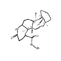 CCCCNC(=O)C1CC(=O)NC2CC[C@H]3[C@@H]4CCC[C@@]4(C)CC[C@@H]3[C@]21C